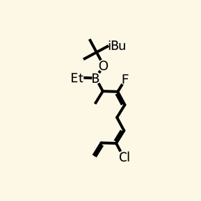 C=C/C(Cl)=C\C/C=C(/F)C(C)B(CC)OC(C)(C)C(C)CC